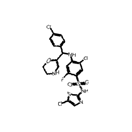 O=S(=O)(Nc1ncc(Cl)s1)c1cc(Cl)c(NC(c2ccc(Cl)cc2)C2CNCCO2)cc1F